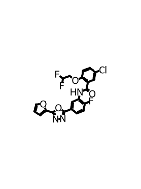 O=C(Nc1cc(-c2nnc(-c3ccco3)o2)ccc1F)c1cc(Cl)ccc1OCC(F)F